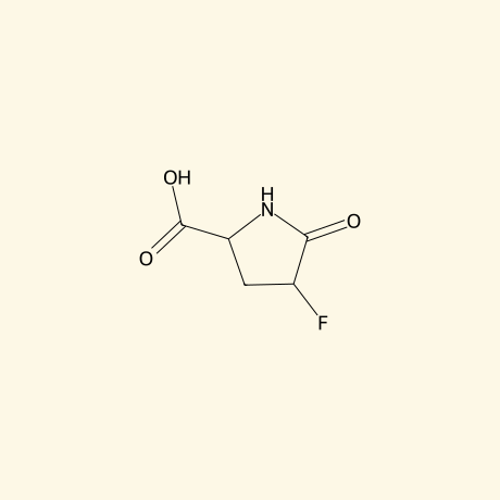 O=C1NC(C(=O)O)CC1F